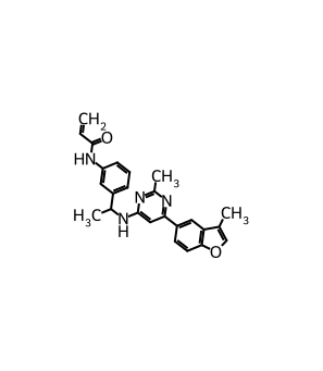 C=CC(=O)Nc1cccc(C(C)Nc2cc(-c3ccc4occ(C)c4c3)nc(C)n2)c1